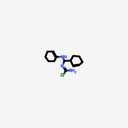 N/C(Cl)=N\C(NC1=CCCCC1)C1C=CCCC1